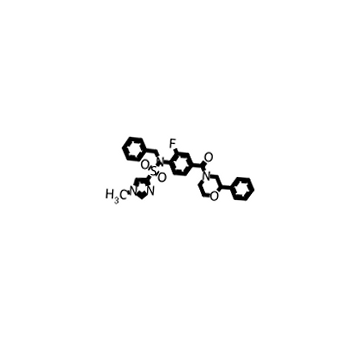 Cn1cnc(S(=O)(=O)N(Cc2ccccc2)c2ccc(C(=O)N3CCOC(c4ccccc4)C3)cc2F)c1